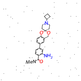 CNC(=O)c1ccc(-c2ccc3c(c2)COC2(CCN(C4CCC4)CC2)O3)cc1N